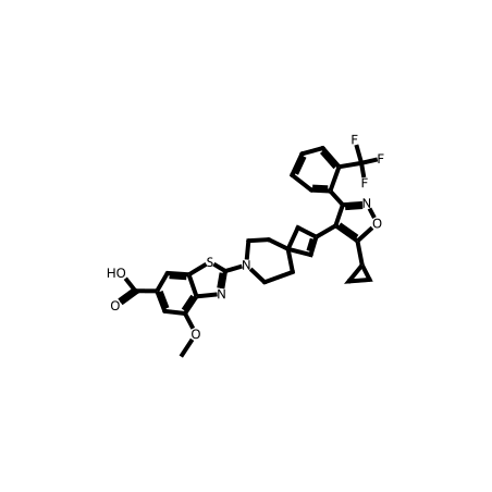 COc1cc(C(=O)O)cc2sc(N3CCC4(C=C(c5c(-c6ccccc6C(F)(F)F)noc5C5CC5)C4)CC3)nc12